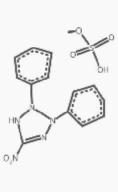 COS(=O)(=O)O.O=[N+]([O-])C1=NN(c2ccccc2)N(c2ccccc2)N1